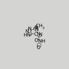 Cn1cc(-c2ncnc3[nH]cc(-c4ccn5ncc(C(=O)NC6CCOCC6)c5c4)c23)cn1